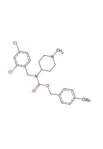 CC(C)COc1ccc(COC(=O)N(Cc2ccc(Cl)cc2Cl)C2CCN(C)CC2)cc1